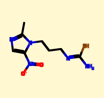 Cc1ncc([N+](=O)[O-])n1CCCN=C(N)S